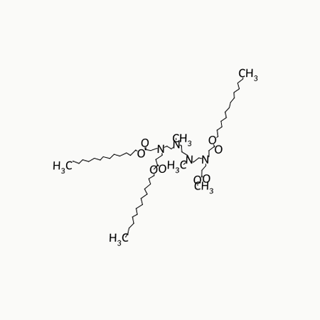 CCCCCCCCCCCCCCOC(=O)CCN(CCC(=O)OC)CCN(C)CCCN(C)CCN(CCC(=O)OCCCCCCCCCCCCCC)CCC(=O)OCCCCCCCCCCCCCC